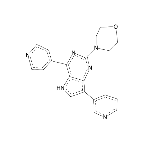 c1cncc(-c2c[nH]c3c(-c4ccncc4)nc(N4CCOCC4)nc23)c1